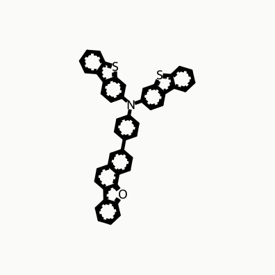 c1ccc2c(c1)oc1c3ccc(-c4ccc(N(c5ccc6c(c5)sc5ccccc56)c5ccc6c(c5)sc5ccccc56)cc4)cc3ccc21